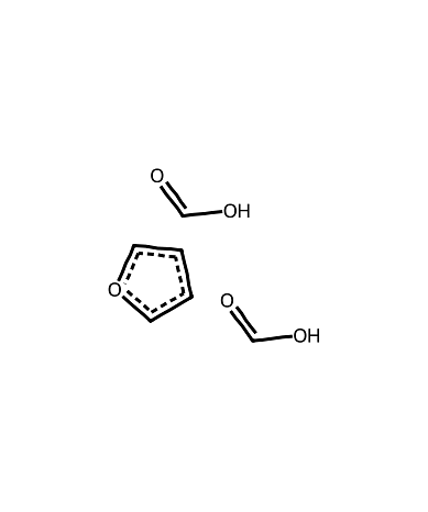 O=CO.O=CO.c1ccoc1